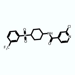 O=C(NC1CCC(S(=O)(=O)c2cccc(C(F)(F)F)c2)CC1)c1ccnc(Cl)c1